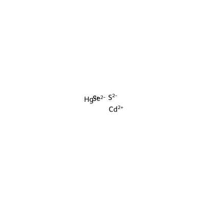 [Cd+2].[Hg+2].[S-2].[Se-2]